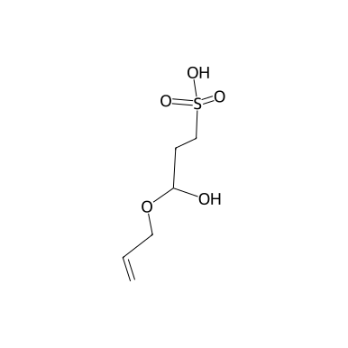 C=CCOC(O)CCS(=O)(=O)O